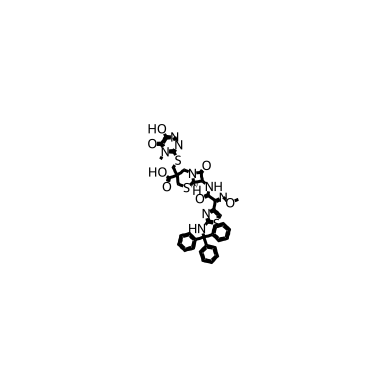 CON=C(C(=O)NC1C(=O)N2CC(CSc3nnc(O)c(=O)n3C)(C(=O)O)CS[C@H]12)c1csc(NC(c2ccccc2)(c2ccccc2)c2ccccc2)n1